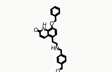 O=Cc1ccc(CNCCc2ccc(OCc3ccccc3)c3[nH]c(=O)ccc23)cc1